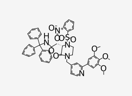 COc1cc(-c2cc(CN3CCN(S(=O)(=O)c4ccccc4[N+](=O)[O-])[C@@H](CC(=O)NC(c4ccccc4)(c4ccccc4)c4ccccc4)C3=O)ccn2)cc(OC)c1OC